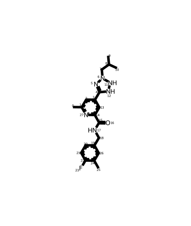 Cc1cc(C2=NN(CC(C)C)NN2)cc(C(=O)NCc2ccc(F)c(C)c2)n1